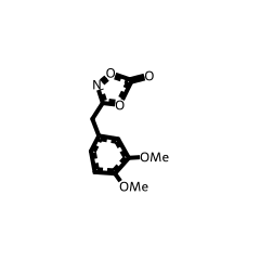 COc1ccc(Cc2noc(=O)o2)cc1OC